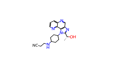 C[C@@H](O)c1nc2cnc3cccnc3c2n1C1CCC(NCCC#N)CC1